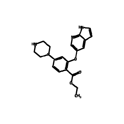 CCOC(=O)c1ccc(N2CCNCC2)cc1Oc1cnc2[nH]ccc2c1